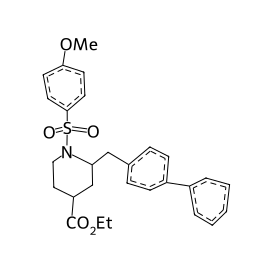 CCOC(=O)C1CCN(S(=O)(=O)c2ccc(OC)cc2)C(Cc2ccc(-c3ccccc3)cc2)C1